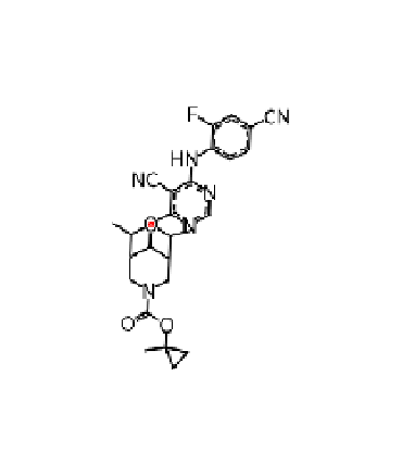 CC1OC(C)C2CN(C(=O)OC3(C)CC3)CC1C2Oc1ncnc(Nc2ccc(C#N)cc2F)c1C#N